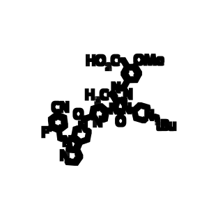 COc1ccc(-c2nc(C)c3c(n2)n(C2CCN(CC(C)(C)C)CC2)c(=O)n3-c2ccc(C(=O)N3CCc4c(n(Cc5ccc(C#N)cc5F)c5ncccc45)C3)nc2)cc1CC(=O)O